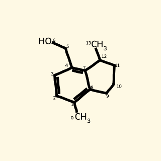 Cc1ccc(CO)c2c1CCCC2C